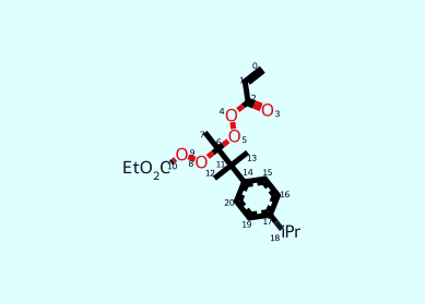 C=CC(=O)OOC(C)(OOC(=O)OCC)C(C)(C)c1ccc(C(C)C)cc1